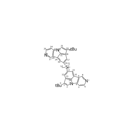 CC(C)(C)c1cn2c3ccncc3c3cc([Si](C)(C)c4cc5c(C(C)(C)C)cn6c7ccncc7c(c4)c56)cc1c32